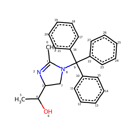 CC1=NC(C(C)O)CN1C(c1ccccc1)(c1ccccc1)c1ccccc1